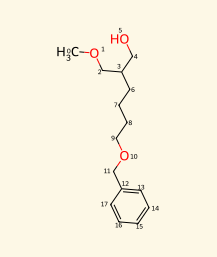 COCC(CO)CCCCOCc1ccccc1